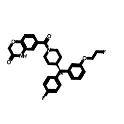 O=C1COc2ccc(C(=O)N3CCC([C@H](c4ccc(F)cc4)c4cccc(OCCF)c4)CC3)cc2N1